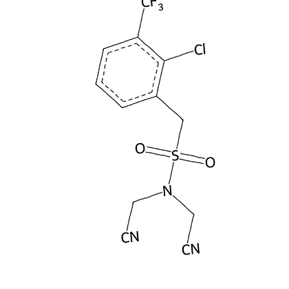 N#CCN(CC#N)S(=O)(=O)Cc1cccc(C(F)(F)F)c1Cl